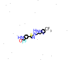 NC(CNc1ncc(-c2ccc3c(c2)C(F)(F)C(=O)N3)s1)Cc1ccc(C(F)(F)F)cc1